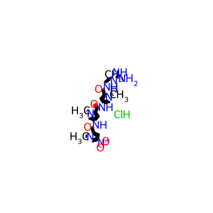 CC(CNC(=O)c1cc(NC(=O)c2cc(NC(=O)c3cc([N+](=O)[O-])cn3C)cn2C)cn1C)NC(=N)N.Cl